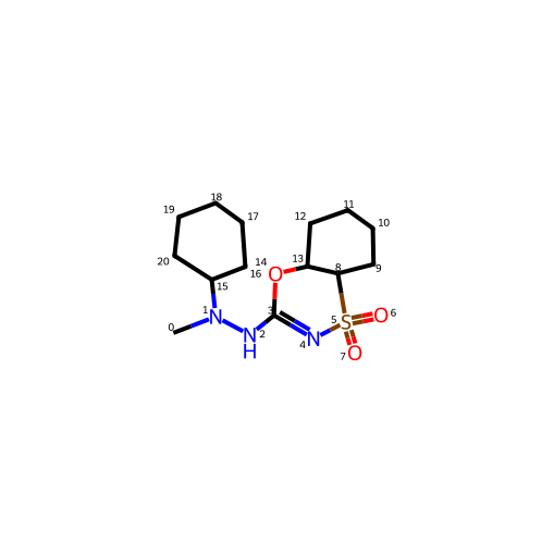 CN(NC1=NS(=O)(=O)C2CCCCC2O1)C1CCCCC1